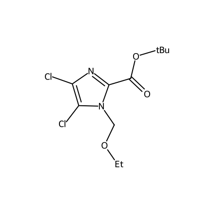 CCOCn1c(C(=O)OC(C)(C)C)nc(Cl)c1Cl